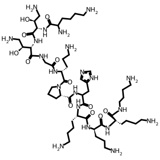 NCCCCNC(=O)[C@H](CCCCN)NC(=O)[C@@H](CCCN)NC(=O)[C@H](CCCCN)NC(=O)C(Cc1cnc[nH]1)NC(=O)[C@@H]1CCCN1C(=O)[C@@H](CCCN)NC(=O)CNC(=O)[C@@H](NC(=O)[C@@H](NC(=O)C(N)CCCCN)[C@@H](O)CN)[C@@H](O)CN